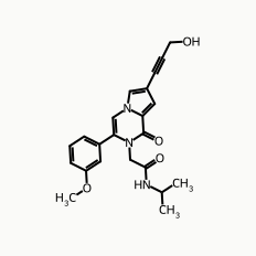 COc1cccc(-c2cn3cc(C#CCO)cc3c(=O)n2CC(=O)NC(C)C)c1